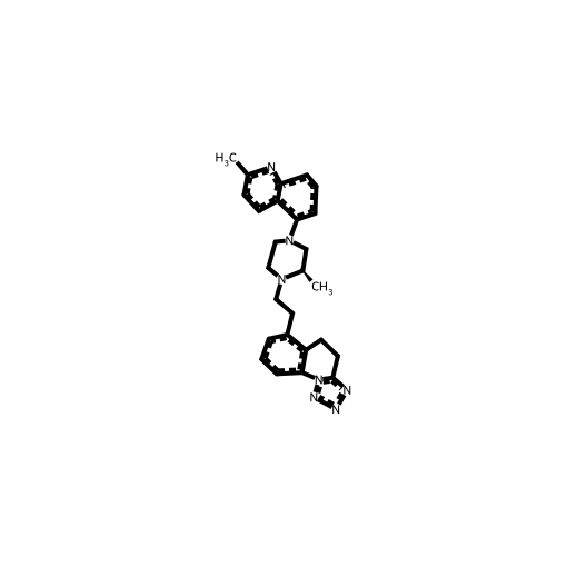 Cc1ccc2c(N3CCN(CCc4cccc5c4CCc4nnnn4-5)[C@H](C)C3)cccc2n1